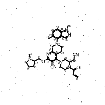 C=CC(=O)N1CCN(c2c(C#N)c(OCC3CCCN3C)nc3c2CCN(c2c(C)ccc4c2cnn4C)C3)CC1CC#N